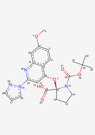 COc1ccc2c(O[C@]3(C(=O)O)CCCN3C(=O)OC(C)(C)C)cc(-n3cccn3)nc2c1